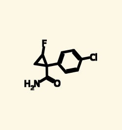 NC(=O)C1(c2ccc(Cl)cc2)C[C]1F